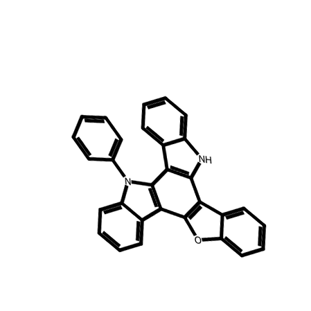 c1ccc(-n2c3ccccc3c3c4oc5ccccc5c4c4[nH]c5ccccc5c4c32)cc1